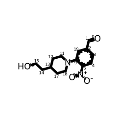 O=Cc1ccc([N+](=O)[O-])c(N2CCC(CCO)CC2)c1